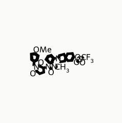 COc1ccc(CN2C(=O)CCC(n3c(=O)n(C)c4c(N5CCC6(CC=C(OS(=O)(=O)C(F)(F)F)CC6)CC5)cccc43)C2=O)cc1